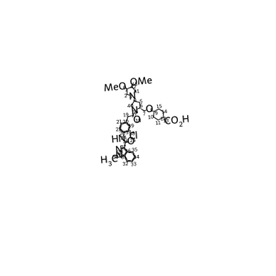 COC1CN([C@H]2C[C@@H](CO[C@H]3CC[C@H](C(=O)O)CC3)N(C(=O)Cc3ccc(NC(=O)c4nn(C)c5ccccc45)c(Cl)c3)C2)C[C@@H]1OC